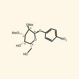 CO[C@H]1[C@@H](Oc2ccc([N+](=O)[O-])cc2)O[C@H](CO)[C@H](O)[C@@H]1OC